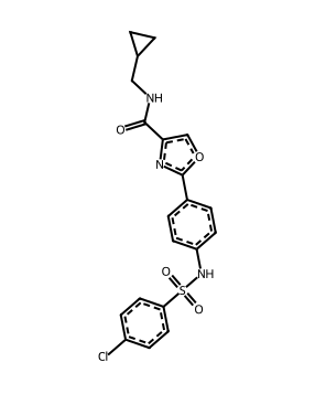 O=C(NCC1CC1)c1coc(-c2ccc(NS(=O)(=O)c3ccc(Cl)cc3)cc2)n1